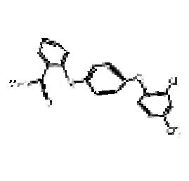 COC(=O)c1ccccc1Nc1ccc(Oc2ccc(C(F)(F)F)cc2Cl)cc1